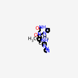 Cc1cc(C)c(C(=O)N(CCNc2ccccc2)CCC(N)=O)c(C)c1NC1CCN(c2cccnn2)CC1